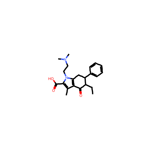 CCC1C(=O)c2c(C)c(C(=O)O)n(CCN(C)C)c2CC1c1ccccc1